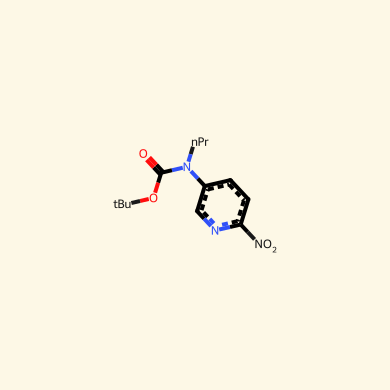 CCCN(C(=O)OC(C)(C)C)c1ccc([N+](=O)[O-])nc1